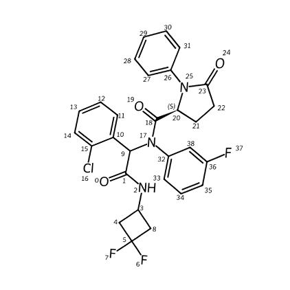 O=C(NC1CC(F)(F)C1)C(c1ccccc1Cl)N(C(=O)[C@@H]1CCC(=O)N1c1ccccc1)c1cccc(F)c1